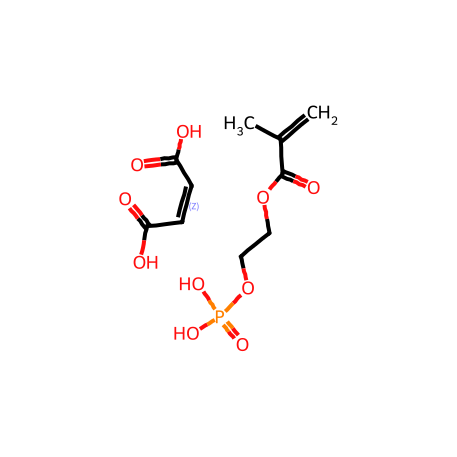 C=C(C)C(=O)OCCOP(=O)(O)O.O=C(O)/C=C\C(=O)O